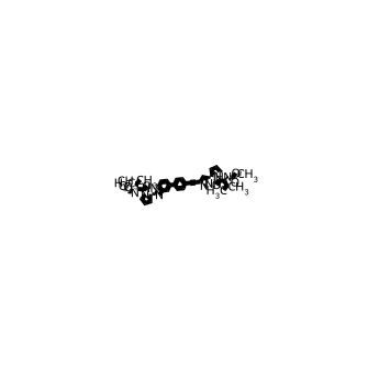 COO/C=N\[C@H](C(=O)N1CCC[C@H]1c1nc2cc(-c3ccc(C#Cc4cc([C@@H]5CCCN5C(=O)[C@@H](NC(=O)OC)C(C)C)[nH]n4)cc3)ccc2[nH]1)C(C)C